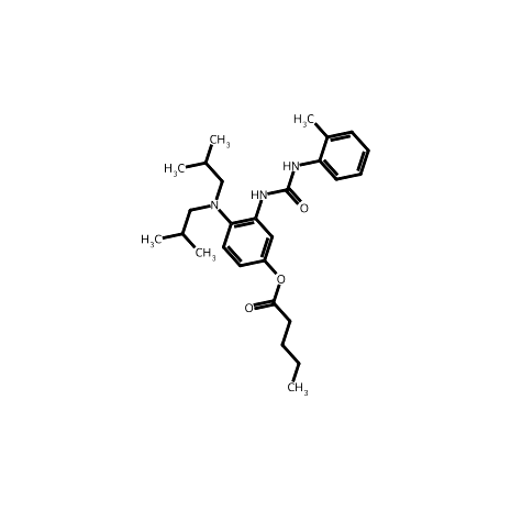 CCCCC(=O)Oc1ccc(N(CC(C)C)CC(C)C)c(NC(=O)Nc2ccccc2C)c1